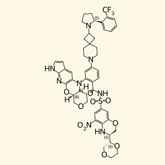 O=C(NS(=O)(=O)c1cc2c(c([N+](=O)[O-])c1)N[C@H]([C@H]1COCCO1)CO2)c1ccc(N2CCC3(CC2)CC(N2CCC[C@H]2c2ccccc2C(F)(F)F)C3)cc1N1c2cc3cc[nH]c3nc2O[C@H]2COCC[C@@H]21